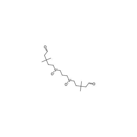 CC(C)(CC=O)CC[S+]([O-])CCC[S+]([O-])CCC(C)(C)CC=O